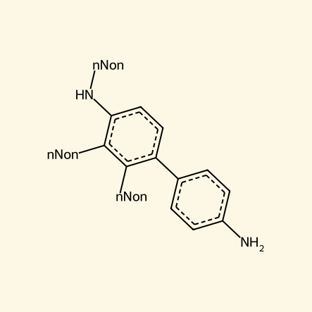 CCCCCCCCCNc1ccc(-c2ccc(N)cc2)c(CCCCCCCCC)c1CCCCCCCCC